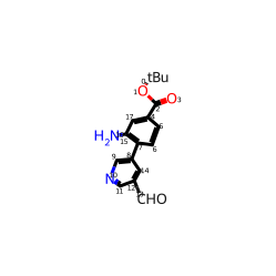 CC(C)(C)OC(=O)c1ccc(-c2cncc(C=O)c2)c(N)c1